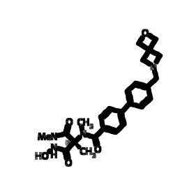 CNC(=O)[C@@](C)(C(=O)NO)N(C)C(=O)c1ccc(-c2ccc(CN3CC4(COC4)C3)cc2)cc1